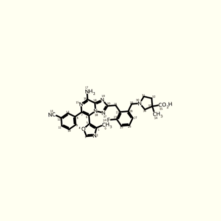 Cc1ncoc1-c1c(-c2cccc(C#N)c2)nc(N)c2nc(Cc3c(F)cccc3CN3CCC(C)(C(=O)O)C3)nn12